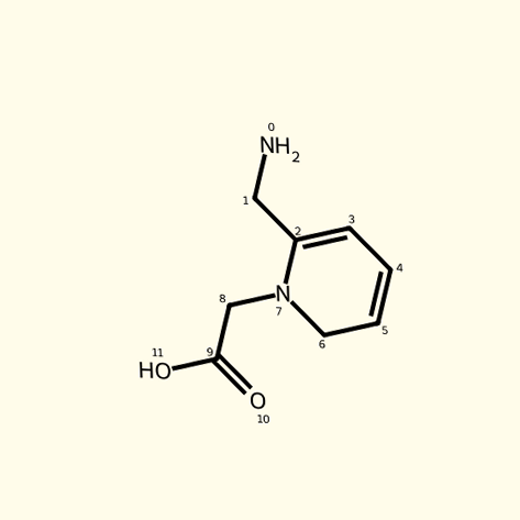 NCC1=CC=CCN1CC(=O)O